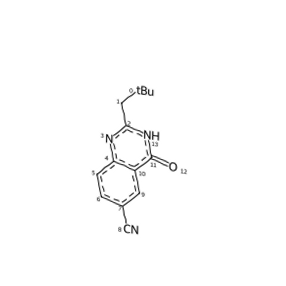 CC(C)(C)Cc1nc2ccc(C#N)cc2c(=O)[nH]1